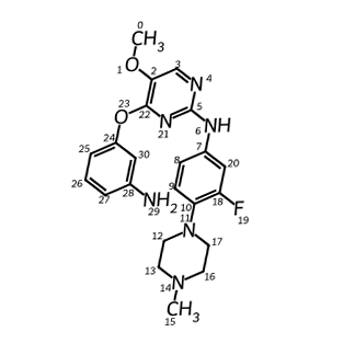 COc1cnc(Nc2ccc(N3CCN(C)CC3)c(F)c2)nc1Oc1cccc(N)c1